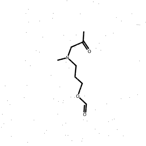 CC(=O)CN(C)CCCOC=O